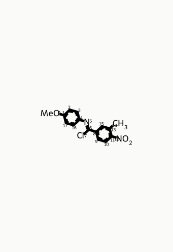 COc1ccc(N=C(Cl)c2ccc([N+](=O)[O-])c(C)c2)cc1